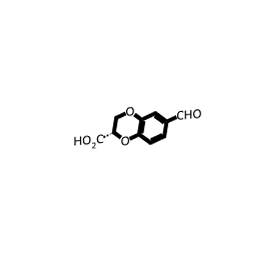 O=Cc1ccc2c(c1)OC[C@@H](C(=O)O)O2